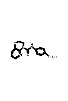 O=C(O)c1ccc(NC(=O)N2CCOc3cccnc32)cc1